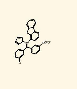 Clc1cccc([C](c2cccc(Cl)c2)=[Zr+2]([c]2cccc3c2Cc2ccccc2-3)[CH]2C=CC=C2)c1.[Cl-].[Cl-]